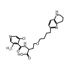 Cc1cncc(Cl)c1C(=O)NC(CCOCCCCc1ccc2c(n1)CCCN2)C(=O)O